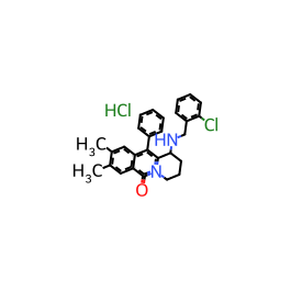 Cc1cc2c(-c3ccccc3)c3n(c(=O)c2cc1C)CCCC3NCc1ccccc1Cl.Cl